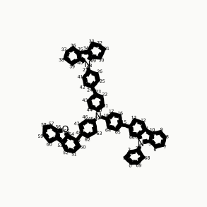 c1ccc(-n2c3ccccc3c3ccc(-c4ccc(N(c5ccc(-c6ccc(-n7c8ccccc8c8ccccc87)cc6)cc5)c5ccc(-c6cccc7c6oc6ccccc67)cc5)cc4)cc32)cc1